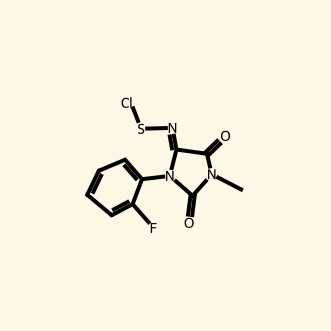 CN1C(=O)/C(=N/SCl)N(c2ccccc2F)C1=O